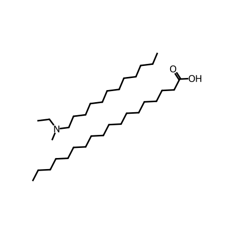 CCCCCCCCCCCCCCCCCC(=O)O.CCCCCCCCCCCCN(C)CC